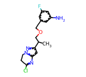 CC(COCc1cc(N)cc(F)c1)c1cc2n(n1)CCC(Cl)=N2